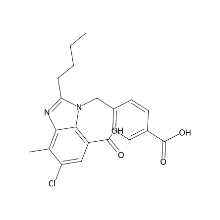 CCCCc1nc2c(C)c(Cl)cc(C(=O)O)c2n1Cc1ccc(C(=O)O)cc1